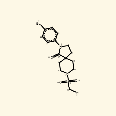 CCC(C)c1ccc(N2CCC3(CCN(S(=O)(=O)CC(C)C)CC3)C2=O)cc1